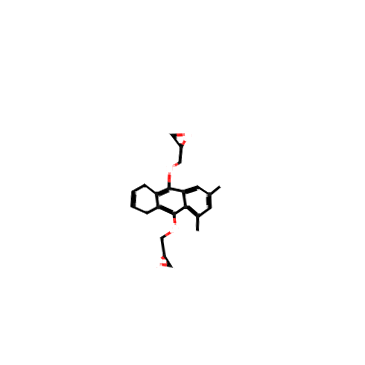 Cc1cc(C)c2c(OCC3CO3)c3c(c(OCC4CO4)c2c1)CC=CC3